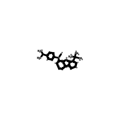 CC(C)c1ccc(N(I)c2cccc3c2sc2c(C(C)(C)C)cccc23)cc1